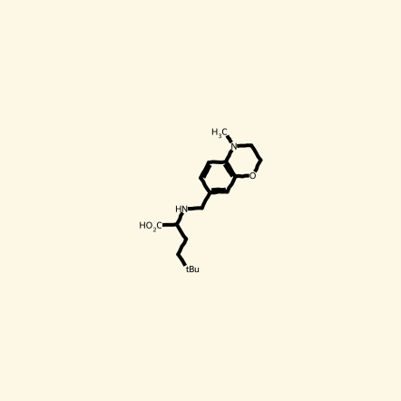 CN1CCOc2cc(CNC(CCC(C)(C)C)C(=O)O)ccc21